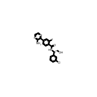 Nc1nccnc1-c1ccc(C(=O)N[C@H](CO)c2cccc(Cl)c2)c(F)c1